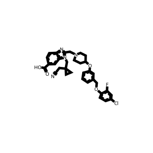 N#CCC1(Cn2c(CN3CCC(Oc4cccc(COc5ccc(Cl)cc5F)c4)CC3)nc3ccc(C(=O)O)cc32)CC1